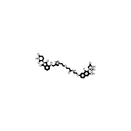 O=C(CCOCCn1cc(CNc2cccc3c2C(=O)N(C2CCC(=O)NC2=O)C3=O)nn1)NCCOc1ccc2cc(O)c(N3CC(=O)NS3(=O)=O)c(F)c2c1